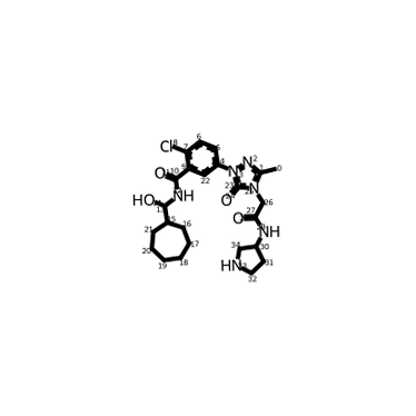 Cc1nn(-c2ccc(Cl)c(C(=O)NC(O)C3CCCCCC3)c2)c(=O)n1CC(=O)NC1CCNC1